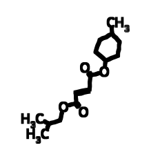 CC(C)COC(=O)/C=C/C(=O)OC1CCC(C)CC1